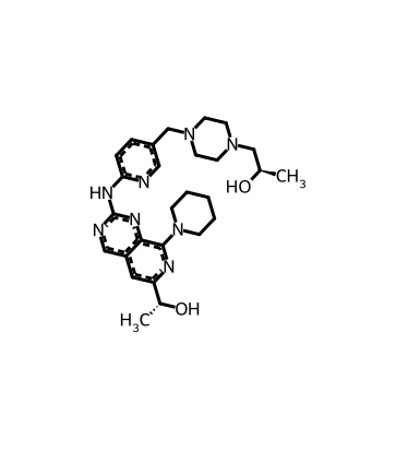 C[C@@H](O)CN1CCN(Cc2ccc(Nc3ncc4cc([C@@H](C)O)nc(N5CCCCC5)c4n3)nc2)CC1